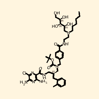 CCCCCCN(CCNC(=O)c1ccc(CN(C[C@H](CNC(=O)c2nc(Cl)c(N)nc2N)Cc2ccccc2C)C(=O)OC(C)(C)C)cc1)C[C@H](O)[C@@H](O)[C@H](O)CO